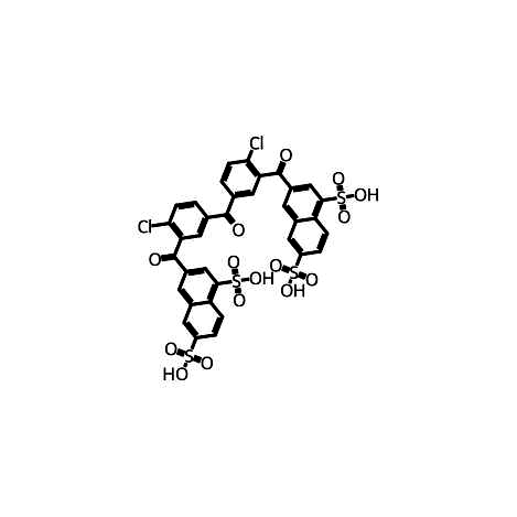 O=C(c1ccc(Cl)c(C(=O)c2cc(S(=O)(=O)O)c3ccc(S(=O)(=O)O)cc3c2)c1)c1ccc(Cl)c(C(=O)c2cc(S(=O)(=O)O)c3ccc(S(=O)(=O)O)cc3c2)c1